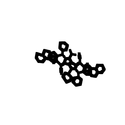 Cc1ccccc1-c1c2/c(=C(\C#N)c3nc4c(ccc5ccccc54)o3)n(B(c3ccccc3)c3ccccc3)c(C(C)C)c2/c(=C(\C#N)c2nc3c(ccc4ccccc43)o2)n1B(c1ccccc1)c1ccccc1